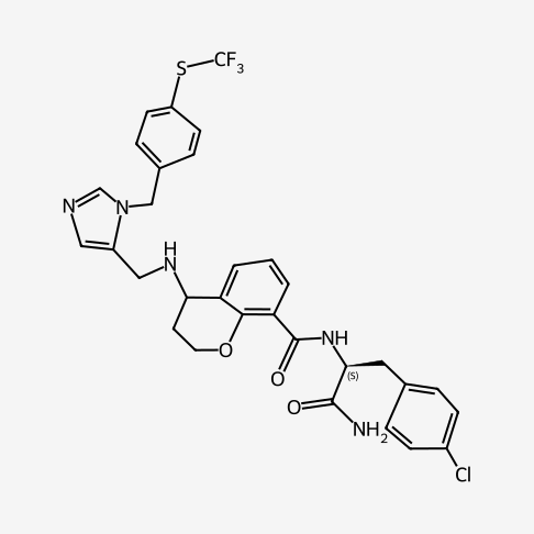 NC(=O)[C@H](Cc1ccc(Cl)cc1)NC(=O)c1cccc2c1OCCC2NCc1cncn1Cc1ccc(SC(F)(F)F)cc1